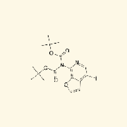 CC(C)(C)OC(=O)N(C(=O)OC(C)(C)C)c1ncc(I)c2ccoc12